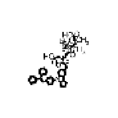 CC(C)(CC(C)(C)N1C(=O)/C(=c2\s/c(=C/c3ccc4c(c3)C3CCCC3N4c3ccc(C=C(c4ccccc4)c4ccccc4)cc3)c(=O)n2CC(=O)O)SC1=S)C(=O)O